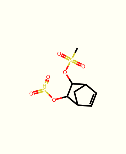 CS(=O)(=O)OC1C2C=CC(C2)C1O[SH](=O)=O